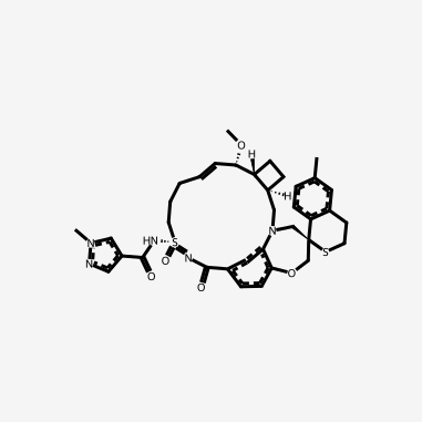 CO[C@H]1/C=C/CCC[S@@](=O)(NC(=O)c2cnn(C)c2)=NC(=O)c2ccc3c(c2)N(C[C@@H]2CC[C@H]21)C[C@]1(CO3)SCCc2cc(C)ccc21